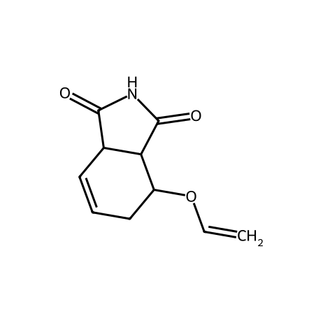 C=COC1CC=CC2C(=O)NC(=O)C12